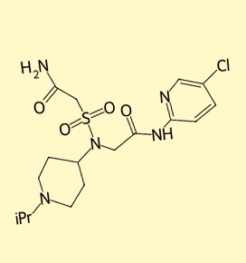 CC(C)N1CCC(N(CC(=O)Nc2ccc(Cl)cn2)S(=O)(=O)CC(N)=O)CC1